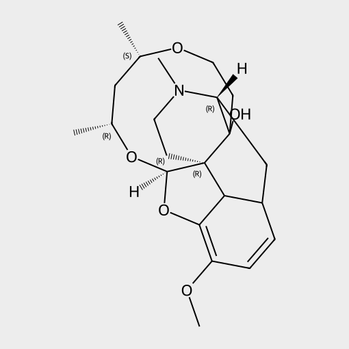 COC1=C2O[C@H]3O[C@H](C)C[C@H](C)OCCC4(O)[C@H]5CC(C=C1)C2[C@@]34CCN5C